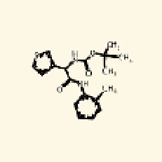 Cc1ccccc1NC(=O)C(NC(=O)OC(C)(C)C)c1ccsc1